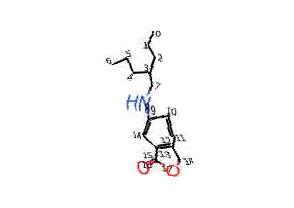 CCCC(CCC)CNc1ccc2c(c1)C(=O)OC2